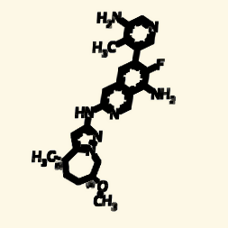 CO[C@H]1CC[C@H](C)c2cc(Nc3cc4cc(-c5cncc(N)c5C)c(F)c(N)c4cn3)nn2C1